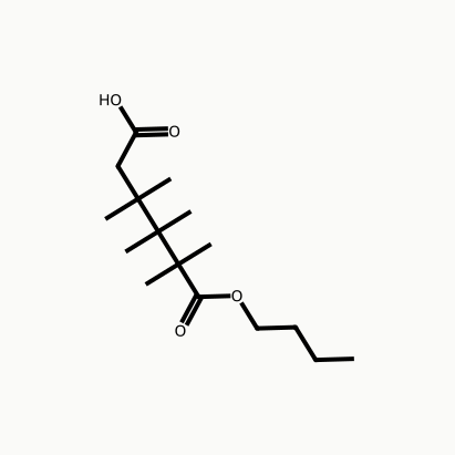 CCCCOC(=O)C(C)(C)C(C)(C)C(C)(C)CC(=O)O